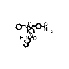 NC(=O)c1ccc(CC2(C(=O)NCC3CCCCC3)CCN(C(=O)[C@@H](N)Cc3cccs3)CC2)cc1